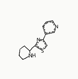 c1cncc(-c2csc(C3CCCCN3)n2)c1